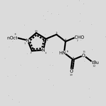 CCCCCCCCn1cnc(CC(C=O)NC(=O)OC(C)(C)C)c1